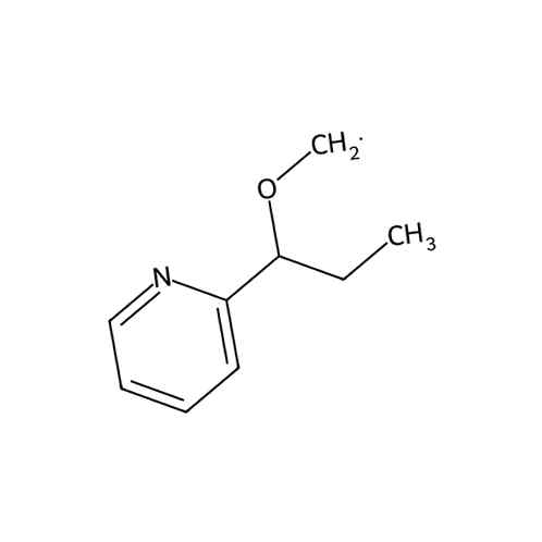 [CH2]OC(CC)c1ccccn1